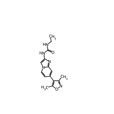 CCNC(=O)Nc1cn2ccc(-c3c(C)noc3C)cc2n1